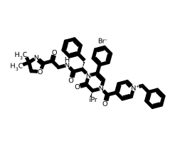 CC(C)[C@@H]1C(=O)N([C@@H](Cc2ccccc2)C(=O)NCC(=O)C2=NC(C)(C)CO2)C(c2ccccc2)=CN1C(=O)c1cc[n+](Cc2ccccc2)cc1.[Br-]